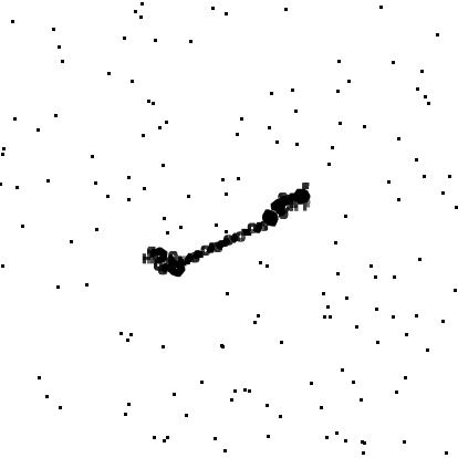 O=C1CCC(N2C(=O)c3cccc(NCCOCCOCCOCCOCCOCCOCCSc4ccc(N5CCC(O)(C(=O)NCc6cc(F)cc(F)c6)C5=O)cc4)c3C2=O)C(=O)N1